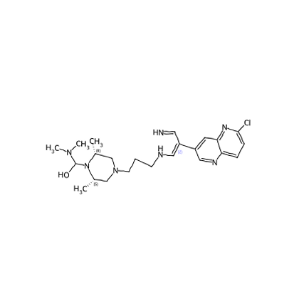 C[C@@H]1CN(CCCN/C=C(\C=N)c2cnc3ccc(Cl)nc3c2)C[C@H](C)N1C(O)N(C)C